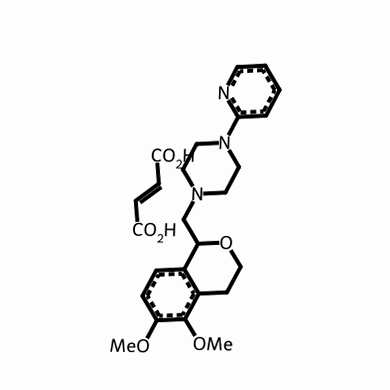 COc1ccc2c(c1OC)CCOC2CN1CCN(c2ccccn2)CC1.O=C(O)/C=C/C(=O)O